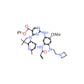 C=CC(=O)Nc1cc(Nc2ncc(C(=O)OC(C)C)c(N3CC(C)(C)c4nc(C)ccc43)n2)c(OC)cc1N(C)CCN1CCC1